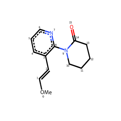 COC=Cc1cccnc1N1CCCCC1=O